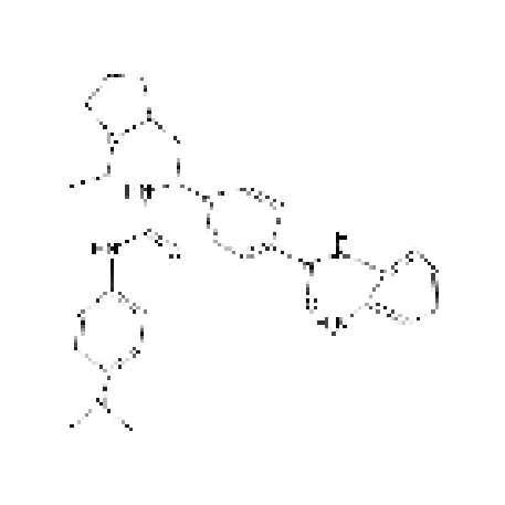 CCN1CCCC1CC(NC(=O)Nc1ccc(N(C)C)cc1)c1ccc(C(=O)Nc2ccccc2N)cc1